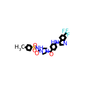 Cc1ccc(S(=O)(=O)NC(=O)N2CCN(C(=O)c3ccc(Nc4ccnc5cc(C(F)(F)F)ccc45)cc3)CC2)cc1